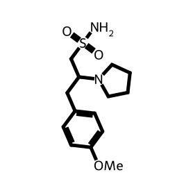 COc1ccc(CC(CS(N)(=O)=O)N2CCCC2)cc1